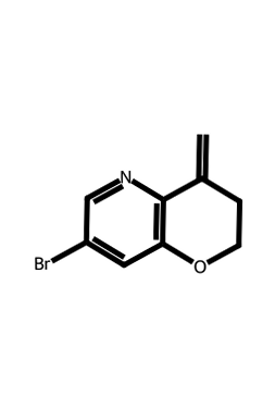 C=C1CCOc2cc(Br)cnc21